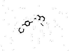 CC(Nc1ncc2ccc(=O)n(CC(C)(C)C)c2n1)c1ccc(C(=O)N2CCC(F)(F)CC2)cc1